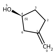 C=C1CC[C@H](O)C1